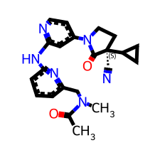 CC(=O)N(C)Cc1cccc(Nc2cc(N3CC[C@@](C#N)(C4CC4)C3=O)ccn2)n1